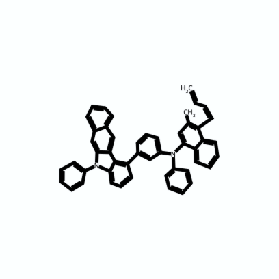 C=C/C=C\c1c(C)cc(N(c2ccccc2)c2cccc(-c3cccc4c3c3cc5ccccc5cc3n4-c3ccccc3)c2)c2ccccc12